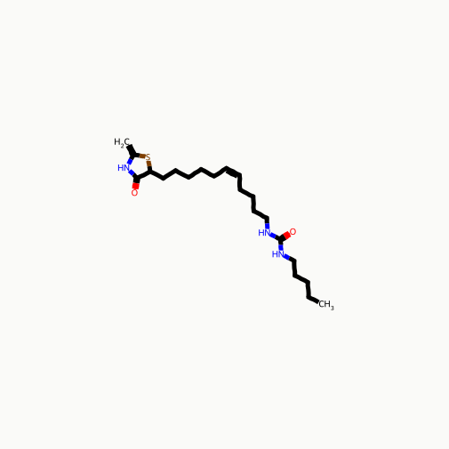 C=C1NC(=O)C(CCCCC/C=C\CCCCNC(=O)NCCCCC)S1